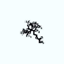 C=C(O[Si](C)(C)C)C(CCCOC(N)=O)(O[Si](C)(C)C)O[Si](C)(C)C